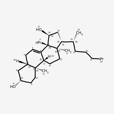 CCC[C@]12C3=CC[C@H]4C[C@@H](O)CC[C@]4(C)[C@H]3CC[C@]1(C)[C@@H]([C@H](C)CCCC(C)C)C[C@@H]2O